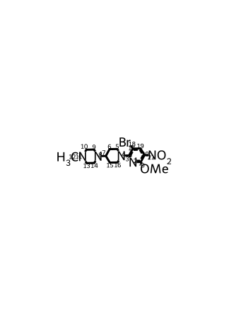 COc1nc(N2CCC(N3CCN(C)CC3)CC2)c(Br)cc1[N+](=O)[O-]